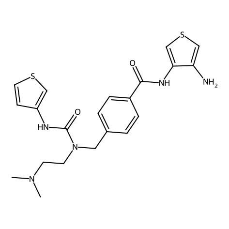 CN(C)CCN(Cc1ccc(C(=O)Nc2cscc2N)cc1)C(=O)Nc1ccsc1